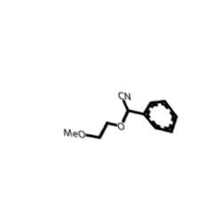 COCCOC(C#N)c1ccccc1